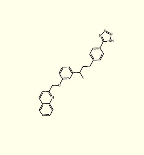 CC(CCc1ccc(-c2nnn[nH]2)cc1)c1cccc(OCc2ccc3ccccc3n2)c1